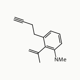 C#CCCc1cccc(NC)c1C(=C)C